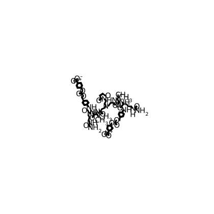 CC(C)[C@H](NC(=O)CCN(CCC(=O)N[C@H](C(=O)N[C@@H](CCCNC(N)=O)C(=O)Nc1ccc(COC(=O)Oc2ccc([N+](=O)[O-])cc2)cc1)C(C)C)CCN1C(=O)C=CC1=O)C(=O)N[C@@H](CCCNC(N)=O)C(=O)Nc1ccc(COC(=O)Oc2ccc([N+](=O)[O-])cc2)cc1